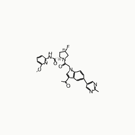 COc1cccc(NC(=O)[C@@H]2C[C@@H](F)CN2C(=O)Cn2cc(C(C)=O)c3cc(-c4cnc(C)nc4)ccc32)n1